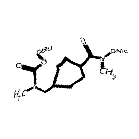 CON(C)C(=O)C1CCC(CN(C)C(=O)OC(C)(C)C)CC1